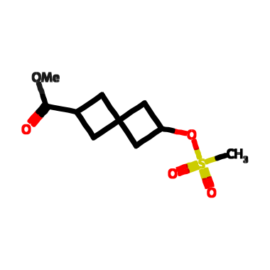 COC(=O)C1CC2(CC(OS(C)(=O)=O)C2)C1